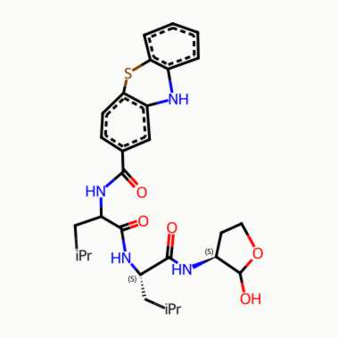 CC(C)CC(NC(=O)c1ccc2c(c1)Nc1ccccc1S2)C(=O)N[C@@H](CC(C)C)C(=O)N[C@H]1CCOC1O